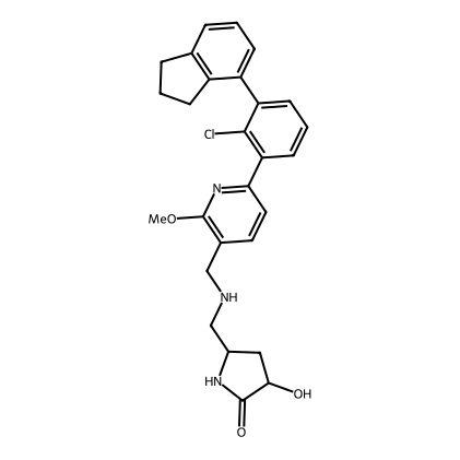 COc1nc(-c2cccc(-c3cccc4c3CCC4)c2Cl)ccc1CNCC1CC(O)C(=O)N1